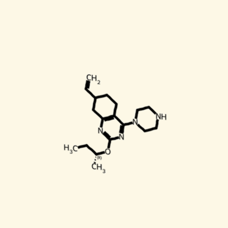 C=CC1CCc2c(nc(O[C@H](C)CC)nc2N2CCNCC2)C1